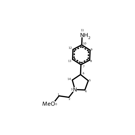 COCCN1CCC(c2ccc(N)cc2)C1